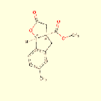 COC(=O)[C@@]12CC(=O)O[C@@H]1c1ccc(C)cc1C2